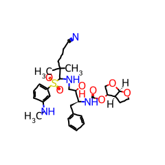 CNc1cccc(S(=O)(=O)C(NC[C@@H](O)[C@H](Cc2ccccc2)NC(=O)O[C@H]2CO[C@H]3OCC[C@H]32)C(C)(C)CCCC#N)c1